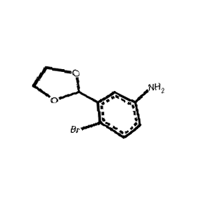 Nc1ccc(Br)c(C2OCCO2)c1